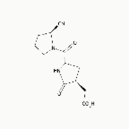 N#C[C@@H]1CCCN1C(=O)[C@@H]1C[C@@H](CC(=O)O)C(=O)N1